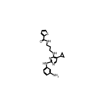 Nc1cccc(Nc2ncc(C3CC3)c(NCCCNC(=O)c3cccs3)n2)c1